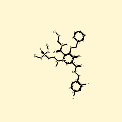 CCOCN(C)C(=O)c1c(OCc2ccccc2)c(=O)c(C(=O)NCc2ccc(F)cc2F)cn1N(C)CCP(=O)(OCC)OCC